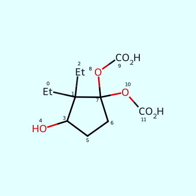 CCC1(CC)C(O)CCC1(OC(=O)O)OC(=O)O